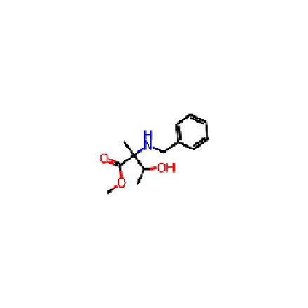 COC(=O)C(C)(NCc1ccccc1)C(C)O